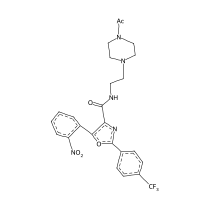 CC(=O)N1CCN(CCNC(=O)c2nc(-c3ccc(C(F)(F)F)cc3)oc2-c2ccccc2[N+](=O)[O-])CC1